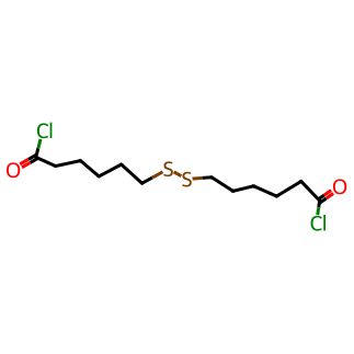 O=C(Cl)CCCCCSSCCCCCC(=O)Cl